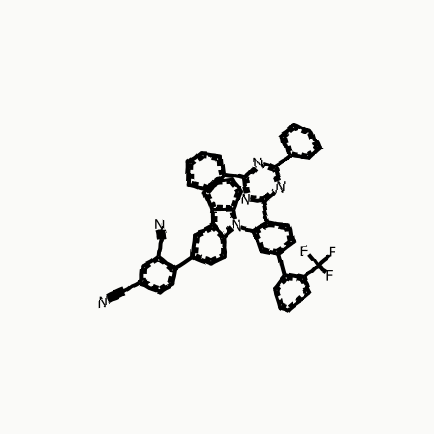 N#Cc1ccc(-c2ccc3c(c2)c2ccccc2n3-c2cc(-c3ccccc3C(F)(F)F)ccc2-c2nc(-c3ccccc3)nc(-c3ccccc3)n2)c(C#N)c1